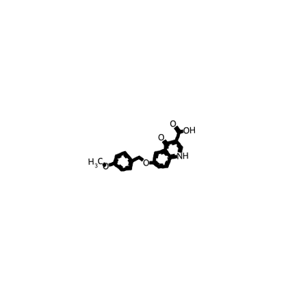 COc1ccc(COc2ccc3[nH]cc(C(=O)O)c(=O)c3c2)cc1